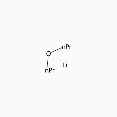 CCCOCCC.[Li]